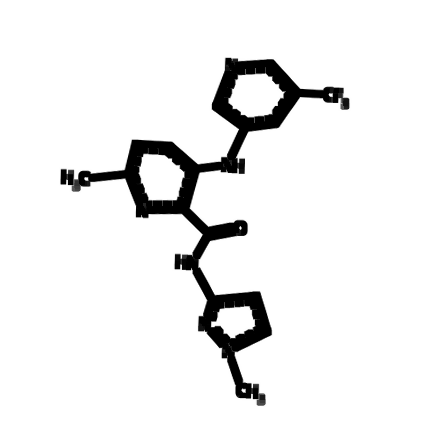 Cc1ccc(Nc2cncc(C(F)(F)F)c2)c(C(=O)Nc2ccn(C)n2)n1